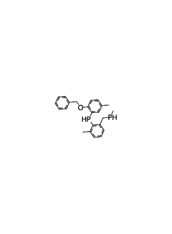 CPCc1cccc(C)c1Pc1cc(C)ccc1OCc1ccccc1